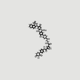 CCc1cc(Nc2ncc(Br)c(Nc3ccc4nccnc4c3P(C)(C)=O)n2)c(OC)cc1N1CCC(NCCNC(=O)c2c[nH]c(C(=O)Nc3ccc(C4CCC(=O)NC4=O)cc3)n2)CC1